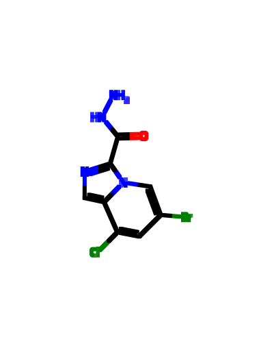 NNC(=O)c1ncc2c(Cl)cc(Br)cn12